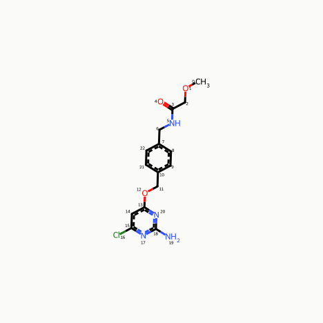 COCC(=O)NCc1ccc(COc2cc(Cl)nc(N)n2)cc1